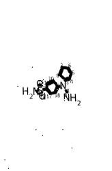 NCN(c1ccccc1)c1ccc(S(N)(=O)=O)cc1